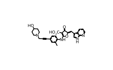 Cc1cc(C#CCN2CCC(O)CC2)ccc1NC1=C(C(=O)O)C(=O)C(=Cc2c[nH]c3ncccc23)O1